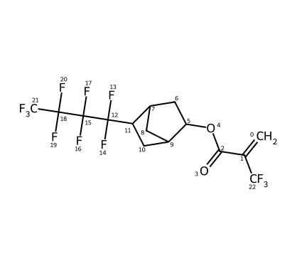 C=C(C(=O)OC1CC2CC1CC2C(F)(F)C(F)(F)C(F)(F)C(F)(F)F)C(F)(F)F